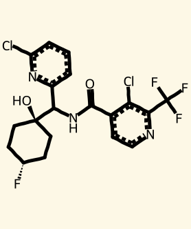 O=C(NC(c1cccc(Cl)n1)[C@]1(O)CC[C@H](F)CC1)c1ccnc(C(F)(F)F)c1Cl